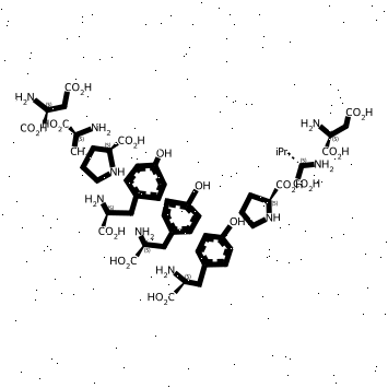 CC(C)[C@H](N)C(=O)O.C[C@H](N)C(=O)O.N[C@@H](CC(=O)O)C(=O)O.N[C@@H](CC(=O)O)C(=O)O.N[C@@H](Cc1ccc(O)cc1)C(=O)O.N[C@@H](Cc1ccc(O)cc1)C(=O)O.N[C@@H](Cc1ccc(O)cc1)C(=O)O.O=C(O)[C@@H]1CCCN1.O=C(O)[C@@H]1CCCN1